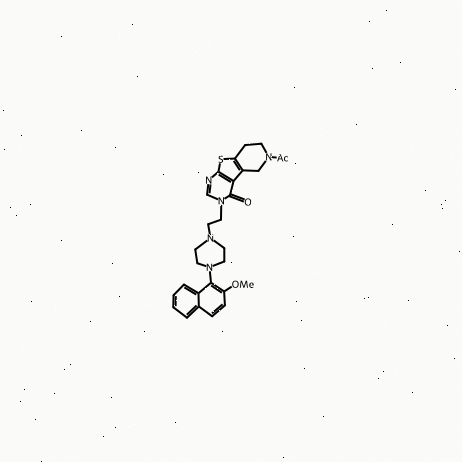 COc1ccc2ccccc2c1N1CCN(CCn2cnc3sc4c(c3c2=O)CN(C(C)=O)CC4)CC1